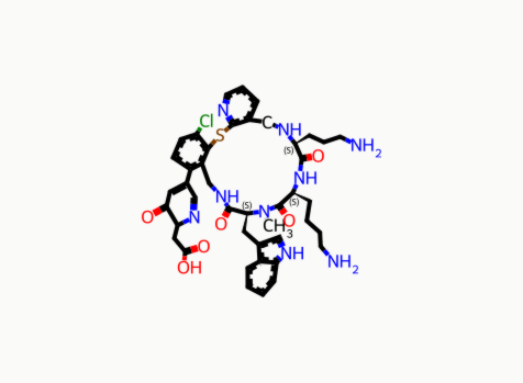 CN1C(=O)[C@H](CCCCN)NC(=O)[C@H](CCCN)NCc2cccnc2Sc2c(Cl)ccc(C3=CC(=O)C(CC(=O)O)N=C3)c2CNC(=O)[C@@H]1Cc1c[nH]c2ccccc12